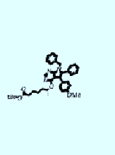 COc1ccc(-c2c(-c3ccccc3)n(Cc3ccccc3)c3ncnc(O[C@H](C)CCCCC(=O)OC(C)(C)C)c23)cc1